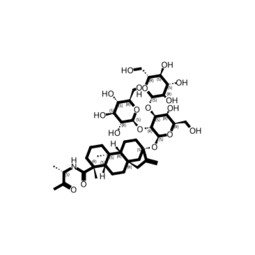 C=C1C[C@@]23CC[C@H]4[C@@](C)(CCC[C@@]4(C)C(=O)N[C@@H](C)C(C)=O)[C@@H]2CC[C@]1(O[C@@H]1O[C@H](CO)[C@@H](O)[C@H](O[C@@H]2O[C@H](CO)[C@@H](O)[C@H](O)[C@H]2O)[C@H]1O[C@@H]1O[C@H](CO)[C@@H](O)[C@H](O)[C@H]1O)C3